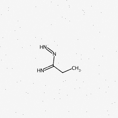 CCC(=N)N=N